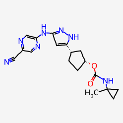 CC1(NC(=O)O[C@@H]2CC[C@H](c3cc(Nc4cnc(C#N)cn4)n[nH]3)C2)CC1